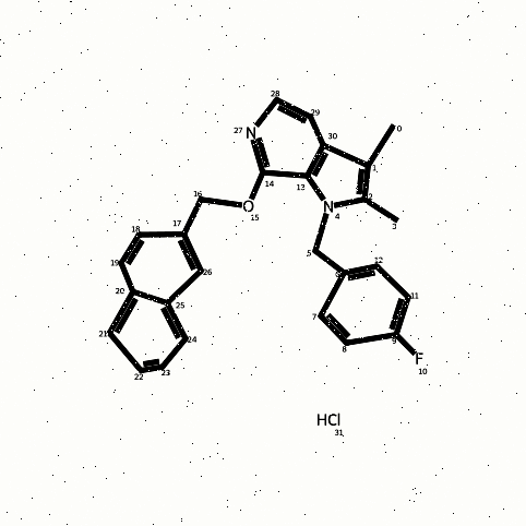 Cc1c(C)n(Cc2ccc(F)cc2)c2c(OCc3ccc4ccccc4c3)nccc12.Cl